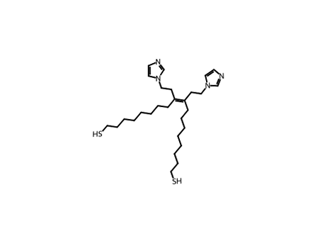 SCCCCCCCC/C(CCn1ccnc1)=C(\CCCCCCCCS)CCn1ccnc1